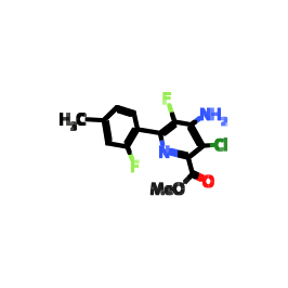 COC(=O)c1nc(-c2ccc(C)cc2F)c(F)c(N)c1Cl